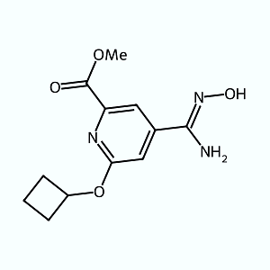 COC(=O)c1cc(/C(N)=N/O)cc(OC2CCC2)n1